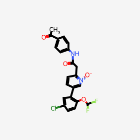 CC(=O)c1ccc(NC(=O)Cc2ccc(-c3cc(Cl)ccc3OC(F)F)c[n+]2[O-])cc1